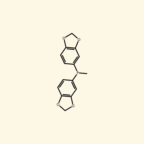 CP(c1ccc2c(c1)OCO2)c1ccc2c(c1)OCO2